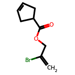 C=C(Br)COC(=O)C1CC=CC1